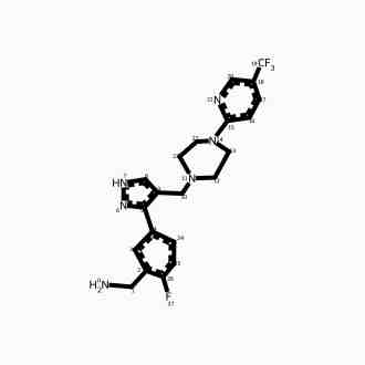 NCc1cc(-c2n[nH]cc2CN2CCN(c3ccc(C(F)(F)F)cn3)CC2)ccc1F